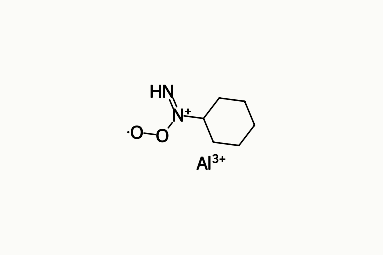 N=[N+](O[O])C1CCCCC1.[Al+3]